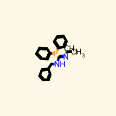 CC(C)/N=C(/NCc1ccccc1)P(c1ccccc1)c1ccccc1